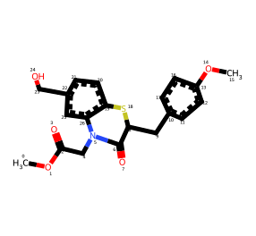 COC(=O)CN1C(=O)C(Cc2ccc(OC)cc2)Sc2ccc(CO)cc21